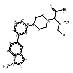 CC(C)[C@H](CO)C(C(N)=O)N1CCN(c2nncc(-c3ccc4c(cnn4C)c3)n2)CC1